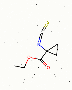 CCOC(=O)C1(N=C=S)CC1